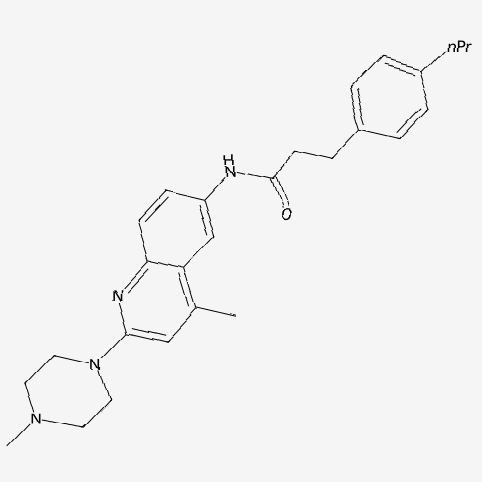 CCCc1ccc(CCC(=O)Nc2ccc3nc(N4CCN(C)CC4)cc(C)c3c2)cc1